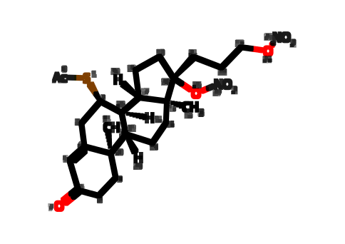 CC(=O)S[C@@H]1CC2=CC(=O)CC[C@]2(C)[C@H]2CC[C@@]3(C)[C@@H](CC[C@]3(CCCO[N+](=O)[O-])O[N+](=O)[O-])[C@H]12